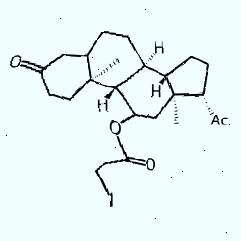 CC(=O)[C@H]1CC[C@H]2[C@@H]3CCC4CC(=O)CC[C@]4(C)[C@H]3C(OC(=O)CI)C[C@]12C